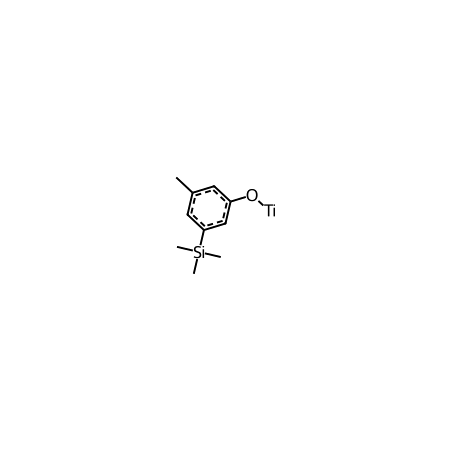 Cc1cc([O][Ti])cc([Si](C)(C)C)c1